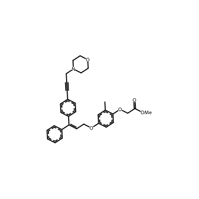 COC(=O)COc1ccc(OC/C=C(/c2ccccc2)c2ccc(C#CCN3CCOCC3)cc2)cc1C